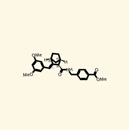 COC(=O)c1ccc(CNC(=O)[C@H]2/C(=C/c3cc(OC)cc(OC)c3)[C@@H]3CC[C@H]2C3)cc1